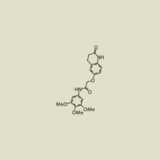 COc1cc(NC(=O)COc2ccc3c(c2)CCC(=O)N3)cc(OC)c1OC